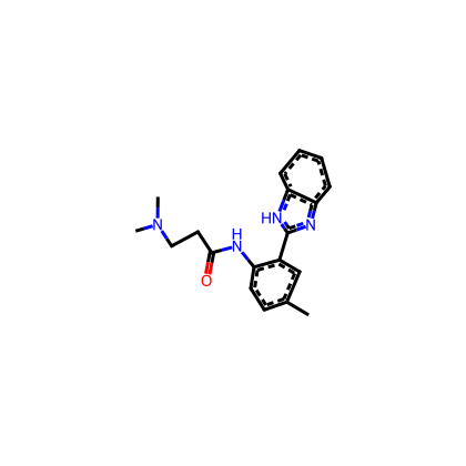 Cc1ccc(NC(=O)CCN(C)C)c(-c2nc3ccccc3[nH]2)c1